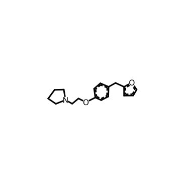 c1coc(Cc2ccc(OCCN3CCCC3)cc2)c1